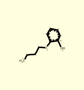 [CH2]CCCSc1ccccc1O